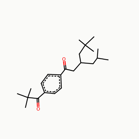 CC(C)CC(CC(=O)c1ccc(C(=O)C(C)(C)C)cc1)CC(C)(C)C